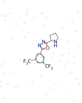 FC(F)(F)c1cc(-c2nnc(C3CCCN3)o2)cc(C(F)(F)F)c1